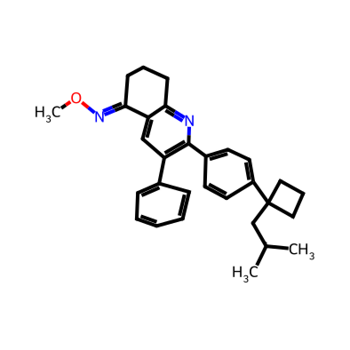 CON=C1CCCc2nc(-c3ccc(C4(C[C](C)C)CCC4)cc3)c(-c3ccccc3)cc21